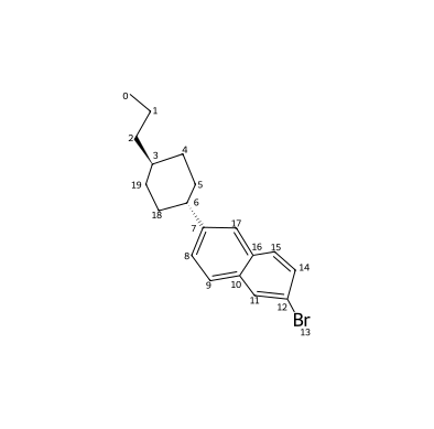 CCC[C@H]1CC[C@H](c2ccc3cc(Br)ccc3c2)CC1